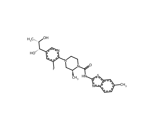 Cc1ccc2nc(NC(=O)N3CCN(c4ncc([C@H](O)[C@H](C)O)cc4F)C[C@@H]3C)sc2c1